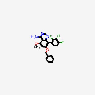 COc1cc(OCc2ccccc2)c(-c2ccc(F)c(Cl)c2F)c2ncnc(N)c12